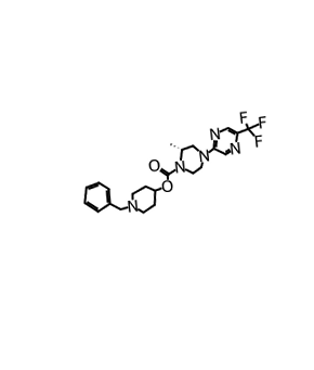 C[C@@H]1CN(c2cnc(C(F)(F)F)cn2)CCN1C(=O)OC1CCN(Cc2ccccc2)CC1